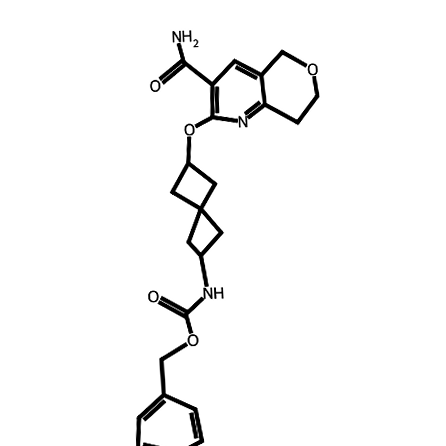 NC(=O)c1cc2c(nc1OC1CC3(CC(NC(=O)OCc4ccccc4)C3)C1)CCOC2